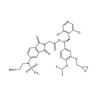 COCCN(c1ccc2c(c1)C(=O)N(CC(=O)O[C@@H](Cc1c(Cl)cncc1Cl)c1ccc(OC(F)F)c(OCC3CC3)c1)C2=O)S(C)(=O)=O